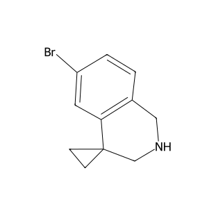 Brc1ccc2c(c1)C1(CC1)CNC2